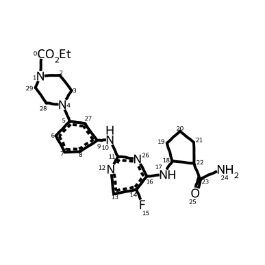 CCOC(=O)N1CCN(c2cccc(Nc3ncc(F)c(NC4CCCC4C(N)=O)n3)c2)CC1